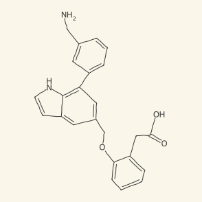 NCc1cccc(-c2cc(COc3ccccc3CC(=O)O)cc3cc[nH]c23)c1